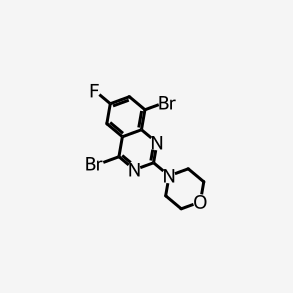 Fc1cc(Br)c2nc(N3CCOCC3)nc(Br)c2c1